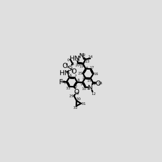 CCS(=O)(=O)Nc1cc(-c2cn(C)c(=O)c3ccc(-c4c[nH]nc4C)cc23)c(OCC2CC2)cc1F